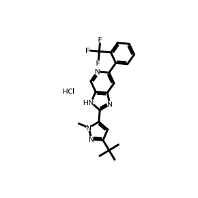 Cl.Cn1nc(C(C)(C)C)cc1-c1nc2cc(-c3ccccc3C(F)(F)F)ncc2[nH]1